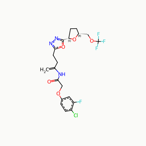 C=C(CCc1nnc([C@@H]2CC[C@H](COC(F)(F)F)O2)o1)NC(=O)COc1ccc(Cl)c(F)c1